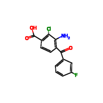 Nc1c(C(=O)c2cccc(F)c2)ccc(C(=O)O)c1Cl